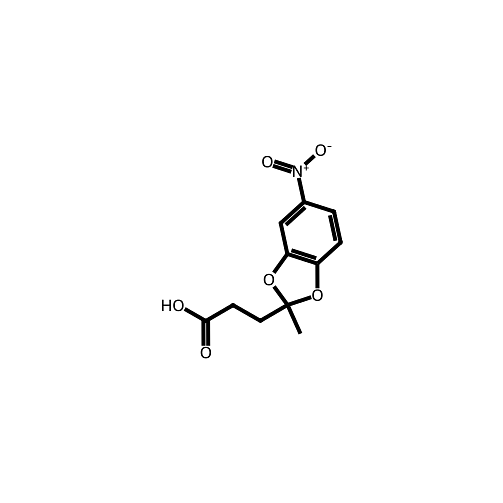 CC1(CCC(=O)O)Oc2ccc([N+](=O)[O-])cc2O1